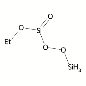 CCO[Si](=O)OO[SiH3]